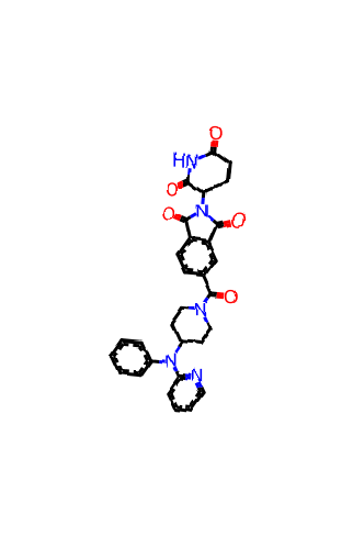 O=C1CCC(N2C(=O)c3ccc(C(=O)N4CCC(N(c5ccccc5)c5ccccn5)CC4)cc3C2=O)C(=O)N1